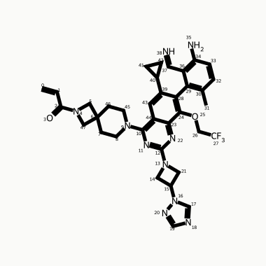 C=CC(=O)N1CC2(CCN(c3nc(N4CC(n5cncn5)C4)nc4c(OCC(F)(F)F)c(-c5c(C)ccc(N)c5C=N)c(C5CC5)cc34)CC2)C1